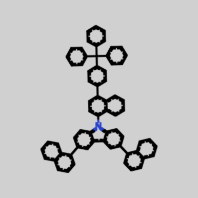 c1ccc(C(c2ccccc2)(c2ccccc2)c2ccc(-c3ccc(-n4c5ccc(-c6cccc7ccccc67)cc5c5cc(-c6cccc7ccccc67)ccc54)c4ccccc34)cc2)cc1